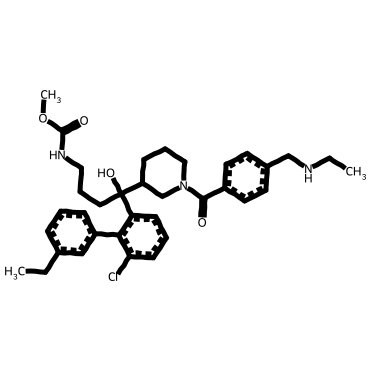 CCNCc1ccc(C(=O)N2CCCC(C(O)(CCCNC(=O)OC)c3cccc(Cl)c3-c3cccc(CC)c3)C2)cc1